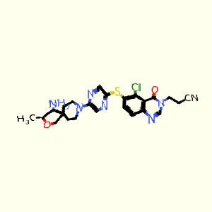 C[C@@H]1OCC2(CCN(c3cnc(Sc4ccc5ncn(CCC#N)c(=O)c5c4Cl)cn3)CC2)[C@@H]1N